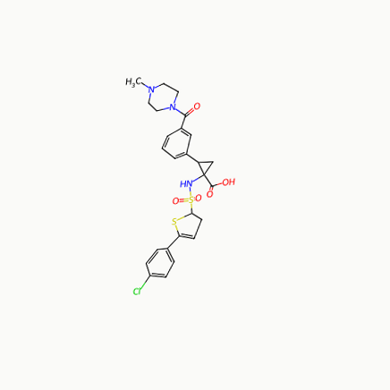 CN1CCN(C(=O)c2cccc(C3CC3(NS(=O)(=O)C3CC=C(c4ccc(Cl)cc4)S3)C(=O)O)c2)CC1